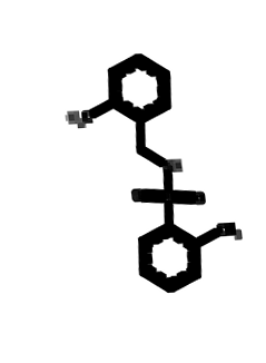 [CH2]c1ccccc1CNS(=O)(=O)c1ccccc1C